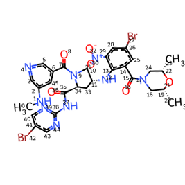 CNc1cncc(C(=O)N2C[C@H](Nc3c(C(=O)N4C[C@@H](C)O[C@@H](C)C4)cc(Br)cc3[N+](=O)[O-])C[C@H]2C(=O)Nc2ncc(Br)cn2)c1